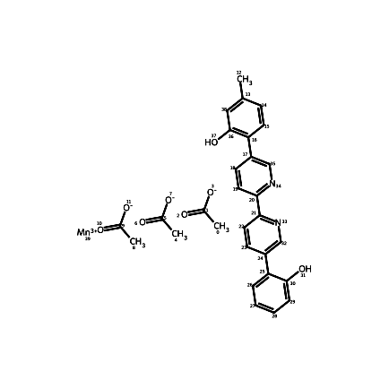 CC(=O)[O-].CC(=O)[O-].CC(=O)[O-].Cc1ccc(-c2ccc(-c3ccc(-c4ccccc4O)cn3)nc2)c(O)c1.[Mn+3]